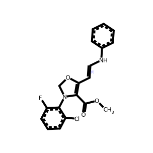 COC(=O)C1=C(/C=C/Nc2ccccc2)OCN1c1c(F)cccc1Cl